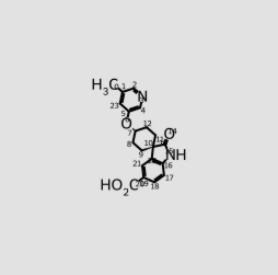 Cc1cncc(O[C@H]2CC[C@@]3(CC2)C(=O)Nc2ccc(C(=O)O)cc23)c1